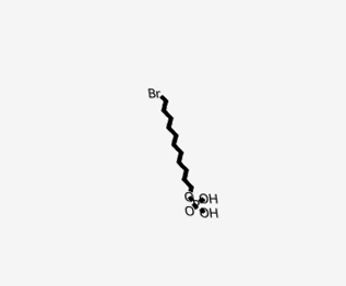 O=P(O)(O)OCCCCCCCCCCCBr